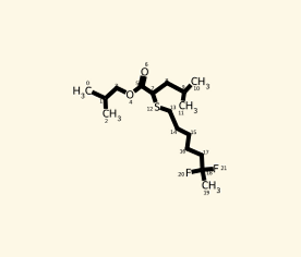 CC(C)COC(=O)C(CC(C)C)SCCCCCC(C)(F)F